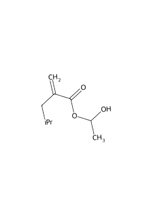 C=C(CC(C)C)C(=O)OC(C)O